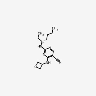 CCCC[C@@H](CC)Nc1ncc(C#N)c(NC2COC2)n1